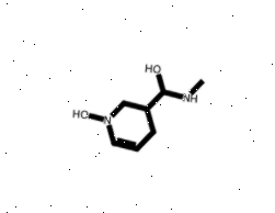 CNC(O)C1CC=CN(O)C1